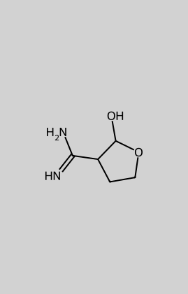 N=C(N)C1CCOC1O